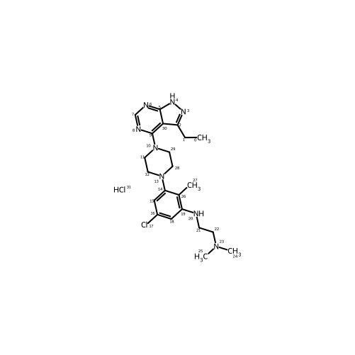 CCc1n[nH]c2ncnc(N3CCN(c4cc(Cl)cc(NCCN(C)C)c4C)CC3)c12.Cl